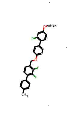 CCCCCCOc1ccc(-c2ccc(OCc3ccc(-c4ccc(C)cc4)c(F)c3F)cc2)c(F)c1